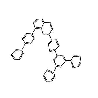 c1ccc(-c2nc(-c3ccccc3)nc(-c3ccc(-c4ccc5cccc(-c6ccc(-c7ccccn7)cc6)c5c4)cc3)n2)cc1